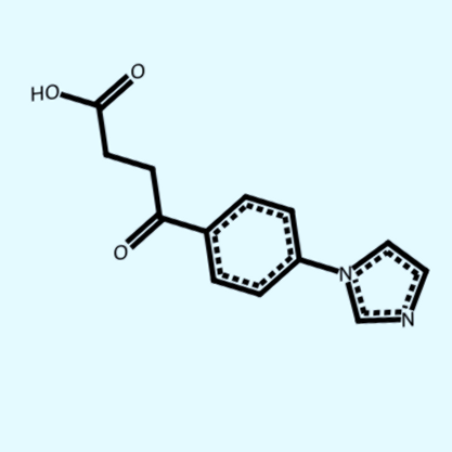 O=C(O)CCC(=O)c1ccc(-n2ccnc2)cc1